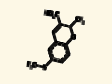 O=C(O)C1=Cc2cc(SC(F)(F)F)ccc2OC1C(F)(F)F